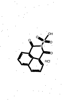 Cl.O=C1c2cccc3cccc(c23)C(=O)N1S(=O)(=O)O